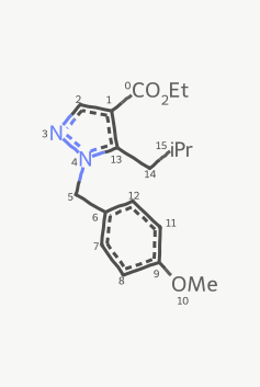 CCOC(=O)c1cnn(Cc2ccc(OC)cc2)c1CC(C)C